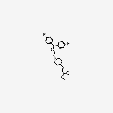 COC(=O)C=CC1CCN(CCOC(c2ccc(F)cc2)c2ccc(F)cc2)CC1